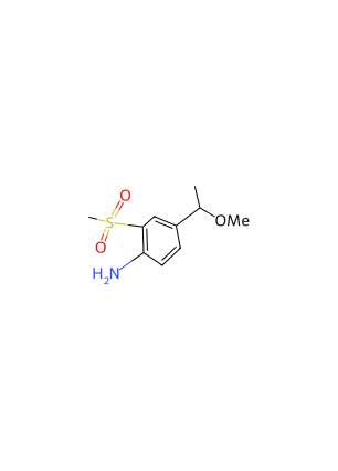 COC(C)c1ccc(N)c(S(C)(=O)=O)c1